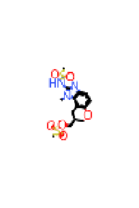 Cn1c(NS(C)(=O)=O)nc2ccc3c(c21)CC(COS(C)(=O)=O)CO3